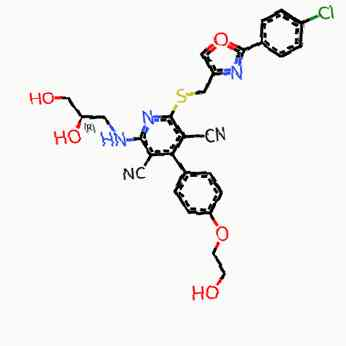 N#Cc1c(NC[C@@H](O)CO)nc(SCc2coc(-c3ccc(Cl)cc3)n2)c(C#N)c1-c1ccc(OCCO)cc1